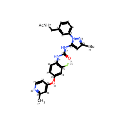 CC(=O)NCc1cccc(-n2nc(C(C)(C)C)cc2NC(=O)Nc2ccc(Oc3ccnc(C)c3)cc2F)c1